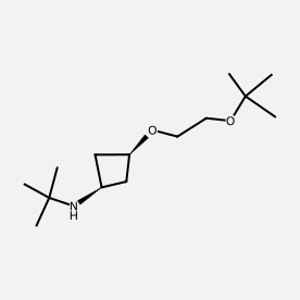 CC(C)(C)N[C@H]1C[C@@H](OCCOC(C)(C)C)C1